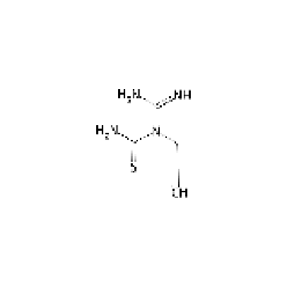 C#CCN(C(=N)N)C(N)=S